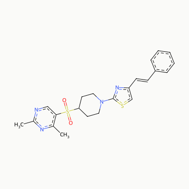 Cc1ncc(S(=O)(=O)C2CCN(c3nc(C=Cc4ccccc4)cs3)CC2)c(C)n1